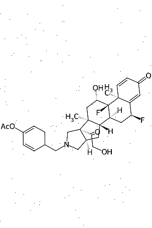 CC(=O)OC1=CCC(CN2C[C@@H]3C[C@H]4[C@@H]5C[C@H](F)C6=CC(=O)C=C[C@]6(C)[C@@]5(F)[C@@H](O)C[C@]4(C)[C@]3(C(=O)CO)C2)C=C1